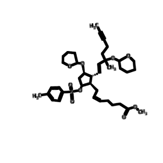 CC#CCCC(C)(/C=C/[C@@H]1[C@@H](C/C=C\CCCC(=O)OC)[C@@H](OS(=O)(=O)c2ccc(C)cc2)C[C@H]1OC1CCCCO1)OC1CCCCO1